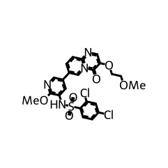 COCCOc1cnc2ccc(-c3cnc(OC)c(NS(=O)(=O)c4ccc(Cl)cc4Cl)c3)cn2c1=O